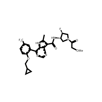 COCC(=O)N1C[C@H](F)[C@H](NC(=O)c2c(C)[nH]c3c(-c4cc(C(F)(F)F)ccc4OCC4CC4)ncnc23)C1